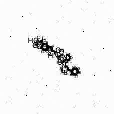 CC(C)(C)[C@H](NC(=O)c1cc2cc(C(F)(F)P(=O)(O)O)ccc2s1)C(=O)N1CCC[C@H]1C(=O)N1CCSC(c2ccccc2)C1